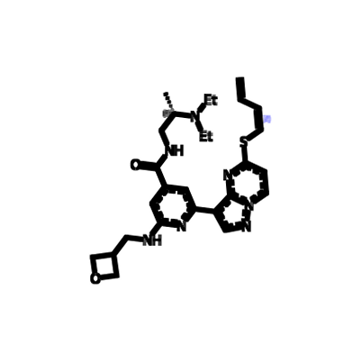 C=C/C=C\Sc1ccn2ncc(-c3cc(C(=O)NC[C@H](C)N(CC)CC)cc(NCC4COC4)n3)c2n1